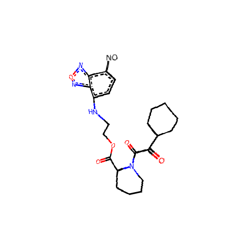 O=Nc1ccc(NCCOC(=O)C2CCCCN2C(=O)C(=O)C2CCCCC2)c2nonc12